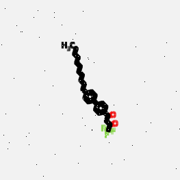 CCCCCCCCCCCc1ccc(-c2ccc(C(=O)CC(=O)C(F)(F)F)cc2)cc1